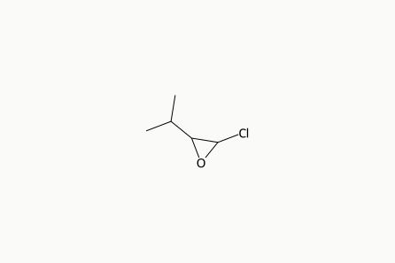 CC(C)C1OC1Cl